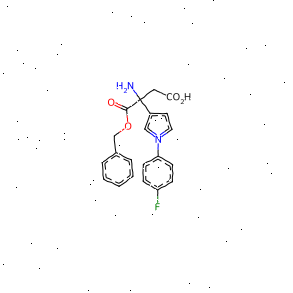 NC(CC(=O)O)(C(=O)OCc1ccccc1)c1ccn(-c2ccc(F)cc2)c1